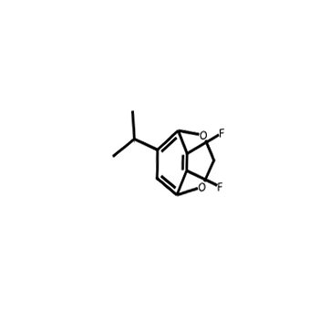 C[C](C)c1cc2c(F)c(F)c1OCO2